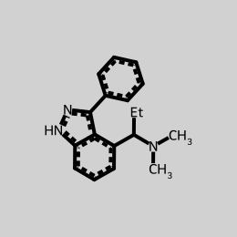 CCC(c1cccc2[nH]nc(-c3ccccc3)c12)N(C)C